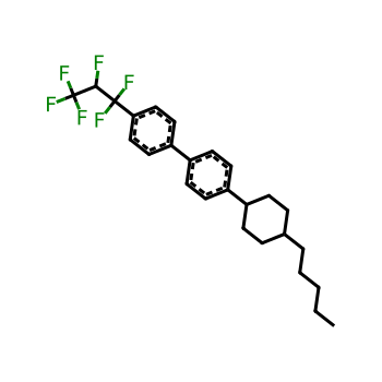 CCCCCC1CCC(c2ccc(-c3ccc(C(F)(F)C(F)C(F)(F)F)cc3)cc2)CC1